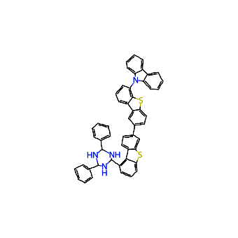 c1ccc(C2NC(c3ccccc3)NC(c3cccc4sc5cc(-c6ccc7sc8c(-n9c%10ccccc%10c%10ccccc%109)cccc8c7c6)ccc5c34)N2)cc1